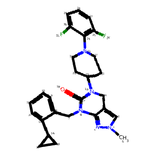 Cn1cc2c(n1)N(Cc1ccccc1C1CC1)C(=O)N(C1CCN(c3c(F)cccc3F)CC1)C2